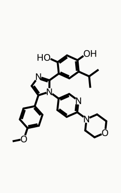 COc1ccc(-c2cnc(-c3cc(C(C)C)c(O)cc3O)n2-c2ccc(N3CCOCC3)nc2)cc1